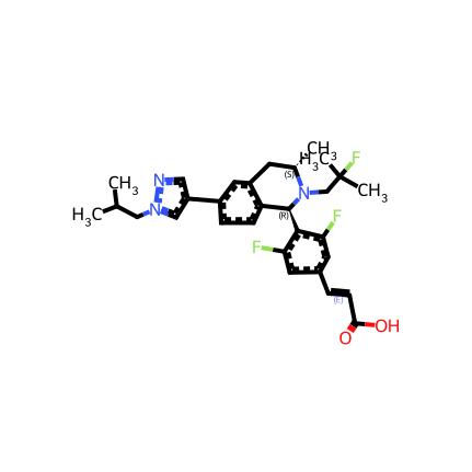 CC(C)Cn1cc(-c2ccc3c(c2)C[C@H](C)N(CC(C)(C)F)[C@H]3c2c(F)cc(/C=C/C(=O)O)cc2F)cn1